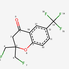 O=C1CC(CF)(CF)Oc2ccc(C(F)(F)F)cc21